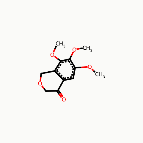 COc1cc2c(c(OC)c1OC)COCC2=O